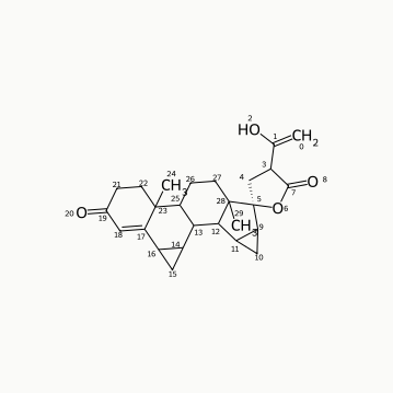 C=C(O)C1C[C@]2(OC1=O)C1CC1C1C3C4CC4C4=CC(=O)CCC4(C)C3CCC12C